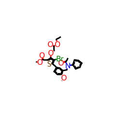 CCOC(=O)COc1c(C(=O)OC)sc(-c2ccc(OC)c(CN(C(C)=O)c3ccccc3)c2)c1Br